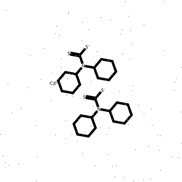 S=C([S-])N(C1CCCCC1)C1CCCCC1.S=C([S-])N(C1CCCCC1)C1CCCCC1.[Cd+2]